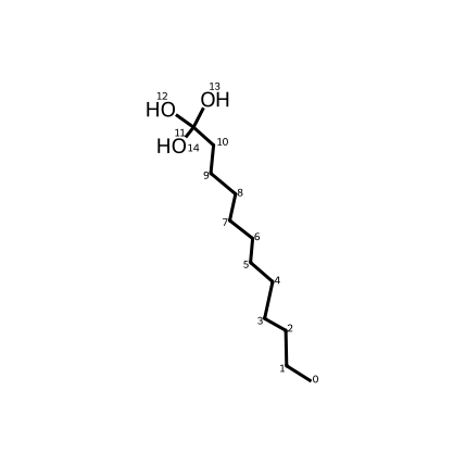 CCCCCCCCCCCC(O)(O)O